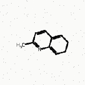 Cc1ccc2c(n1)=CCCC=2